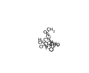 C=CC(=O)N1CCN(/C(=N/C)c2cc(Cl)c(Cl)nc2N(C=O)c2c(F)cccc2F)C(C)C1